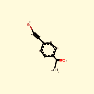 CC(=O)c1ccc(C#CBr)cc1